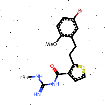 CCCCNC(=N)NC(=O)c1ccsc1CCc1cc(Br)ccc1OC